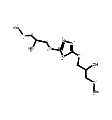 CCCCOCC(O)CSc1nnc(SCC(O)COCCCC)s1